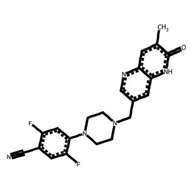 Cc1cc2ncc(CN3CCN(c4cc(F)c(C#N)cc4F)CC3)cc2[nH]c1=O